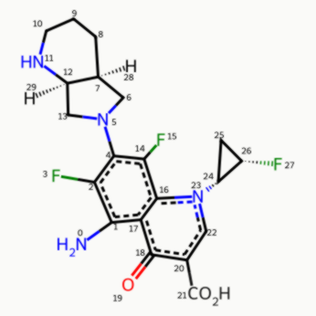 Nc1c(F)c(N2C[C@@H]3CCCN[C@@H]3C2)c(F)c2c1c(=O)c(C(=O)O)cn2[C@@H]1C[C@@H]1F